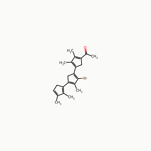 CC(=O)C1=C(C)C(C)=C(C2=C(Br)C(C)=C(C3=C(C)C(C)=CC3)C2)C1